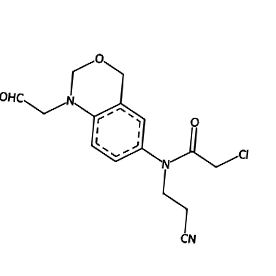 N#CCCN(C(=O)CCl)c1ccc2c(c1)COCN2CC=O